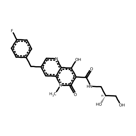 Cn1c(=O)c(C(=O)NC[C@@H](O)CO)c(O)c2ncc(Cc3ccc(F)cc3)cc21